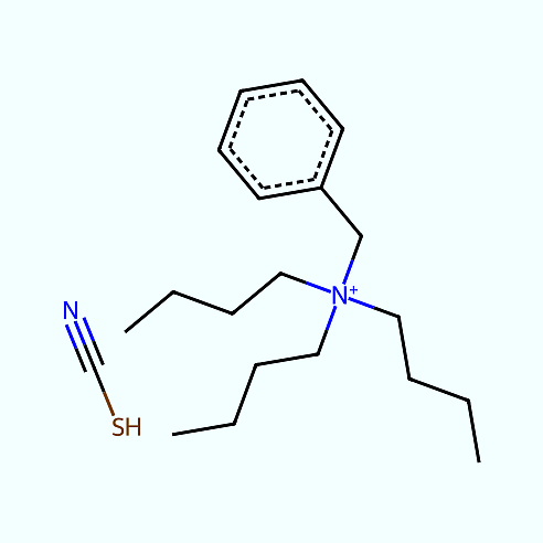 CCCC[N+](CCCC)(CCCC)Cc1ccccc1.N#CS